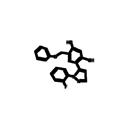 Oc1cc(O)c(-c2ccnn2-c2ccccc2F)cc1COc1ccccc1